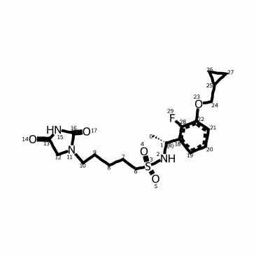 C[C@@H](NS(=O)(=O)CCCCCN1CC(=O)NC1=O)c1cccc(OCC2CC2)c1F